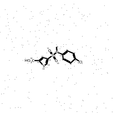 CN(c1ccc(Cl)cc1)S(=O)(=O)c1csc(C(=O)O)c1